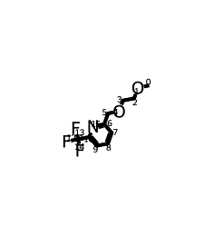 COCCOCc1cccc(C(F)(F)F)n1